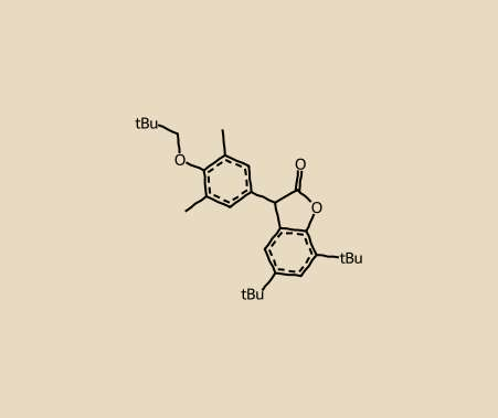 Cc1cc(C2C(=O)Oc3c2cc(C(C)(C)C)cc3C(C)(C)C)cc(C)c1OCC(C)(C)C